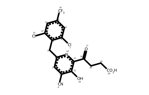 N#Cc1cc(Cc2c(Cl)cc(C(F)(F)F)cc2Cl)nc(C(=O)CCC(=O)O)c1O